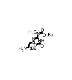 CN(C(=O)OC(C)(C)C)C(=NOCCN)NC(=O)OC(C)(C)C